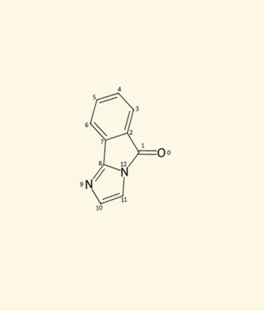 O=C1c2ccccc2-c2nccn21